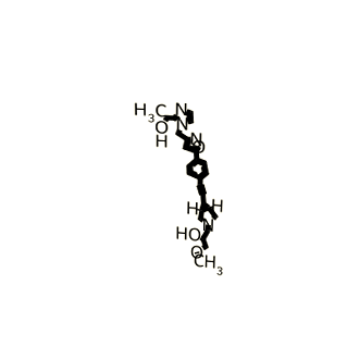 COCC(O)CN1C[C@@H]2C(C#Cc3ccc(-c4cc(Cn5ccnc5[C@H](C)O)no4)cc3)[C@@H]2C1